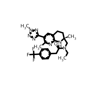 CCN(C[C@@]1(C)CCc2cc(-c3nnn(C)n3)c(C)nc2N1)C(=O)Cc1ccc(C(F)(F)F)cc1